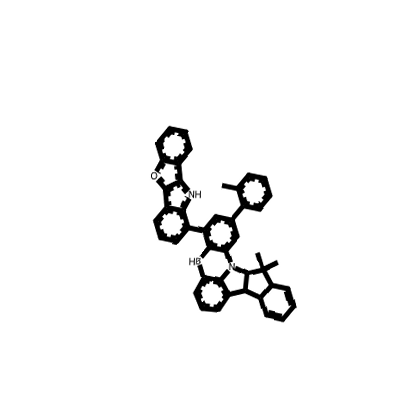 Cc1ccccc1-c1cc(-c2cccc3c2[nH]c2c4ccccc4oc32)c2c(c1)N1c3c(cccc3C3C4C=CC=CC4C(C)(C)C31)B2